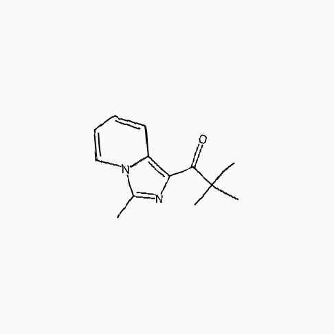 Cc1nc(C(=O)C(C)(C)C)c2ccccn12